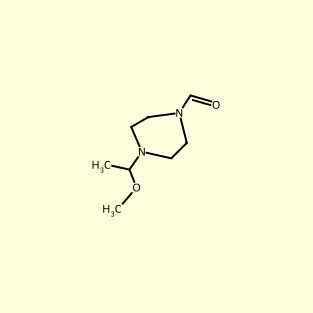 COC(C)N1CCN(C=O)CC1